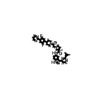 C[C@@]1(C(=O)Nc2ccc3[nH]nc(-c4ccnc(C5CC5)n4)c3c2)CCN(CC(=O)N2CC=C(c3cc(F)c(-c4ncccn4)cc3F)CC2)C1